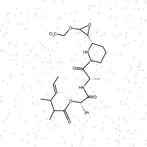 C/C=C/C(C)C(C)C(=O)O[C@H](C(=O)N[C@@H](C)C(=O)N1CCC[C@@H](C2OC2OCC(Cl)(Cl)Cl)N1)C(C)C